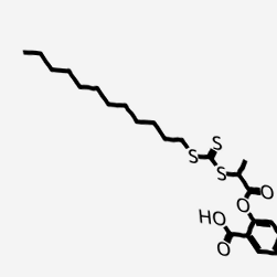 CCCCCCCCCCCCSC(=S)SC(C)C(=O)Oc1ccccc1C(=O)O